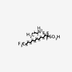 C=CCN.O=S(=O)(O)C(F)(F)C(F)CCCCCCCCCC(F)(F)F